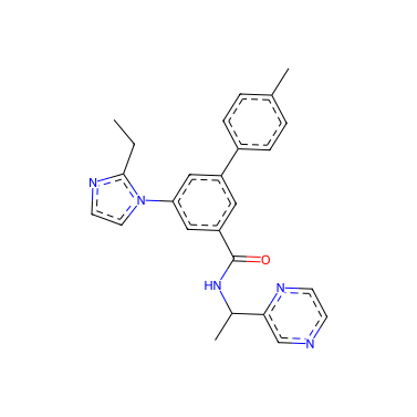 CCc1nccn1-c1cc(C(=O)NC(C)c2cnccn2)cc(-c2ccc(C)cc2)c1